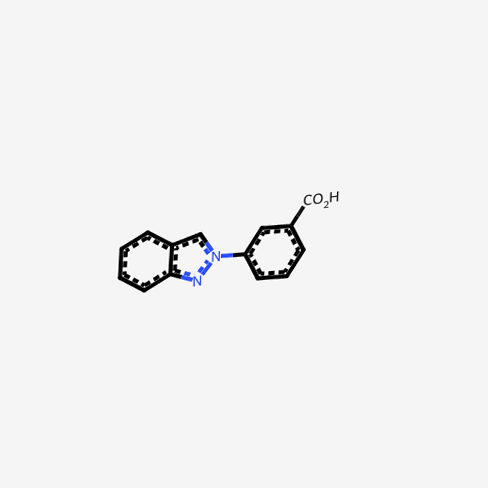 O=C(O)c1cccc(-n2cc3ccccc3n2)c1